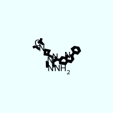 CC1CN(C2CC(c3nc(-c4ccc5ccc(-c6ccccc6)nc5c4)c4c(N)nccn34)C2)CC(C)O1